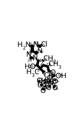 C#C[C@](C)([C@H](C=C)[C@H](C)COP(=O)(O)OP(=O)(O)OP(=O)(O)OC)[C@@H](O)Cn1cnc2c(N)nc(Cl)nc21